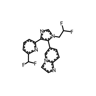 FC(F)Cn1cnc(-c2cccc(C(F)F)n2)c1-c1ccc2nccn2c1